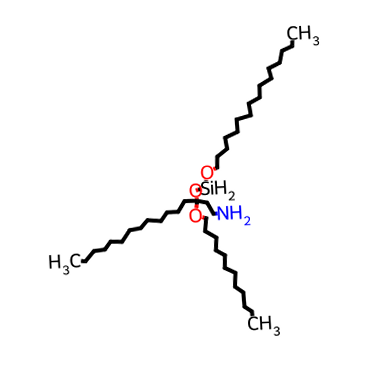 CCCCCCCCCCCCCCCCO[SiH2]OC(CCN)(CCCCCCCCCCCCC)OCCCCCCCCCCCC